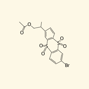 CC(=O)OCC(C)c1ccc2c(c1)S(=O)(=O)c1ccc(Br)cc1S2(=O)=O